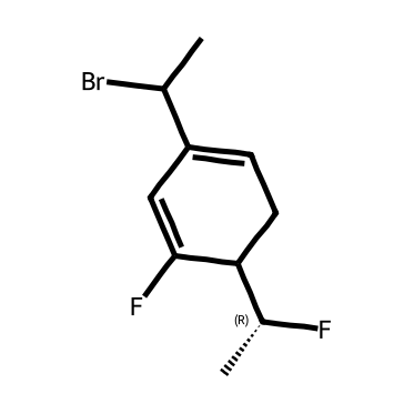 CC(Br)C1=CCC([C@@H](C)F)C(F)=C1